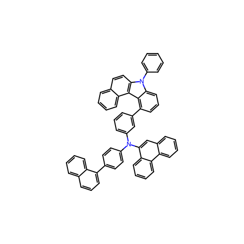 c1ccc(-n2c3cccc(-c4cccc(N(c5ccc(-c6cccc7ccccc67)cc5)c5cc6ccccc6c6ccccc56)c4)c3c3c4ccccc4ccc32)cc1